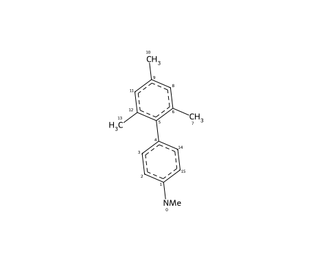 CNc1ccc(-c2c(C)cc(C)cc2C)cc1